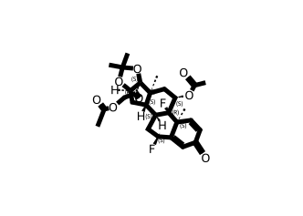 CC(=O)OCC(=O)[C@@]12OC(C)(C)O[C@@H]1C[C@H]1[C@@H]3C[C@H](F)C4=CC(=O)C=C[C@]4(C)[C@@]3(F)[C@@H](OC(C)=O)C[C@@]12C